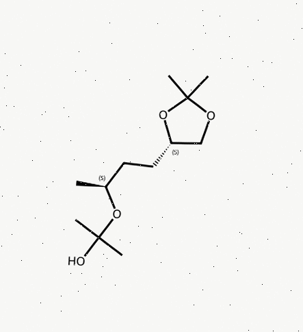 C[C@@H](CC[C@H]1COC(C)(C)O1)OC(C)(C)O